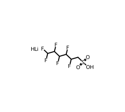 O=S(=O)(O)CC(F)C(F)C(F)C(F)C(F)F.[LiH]